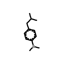 CB(C)c1ccc(CC(C)C)cc1